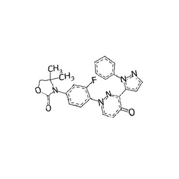 CC1(C)COC(=O)N1c1ccc(-n2ccc(=O)c(-c3ccnn3-c3ccccc3)n2)c(F)c1